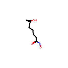 C=C(O)CCCCC(=O)N=O